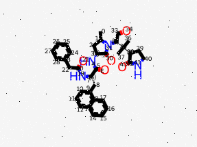 CC1C[C@H](NC(=O)[C@H](Cc2cccc3ccccc23)NC(=O)Cc2ccccc2)C(=O)N1[C@H](C=O)C(C)(C)[C@@H]1CCNC1=O